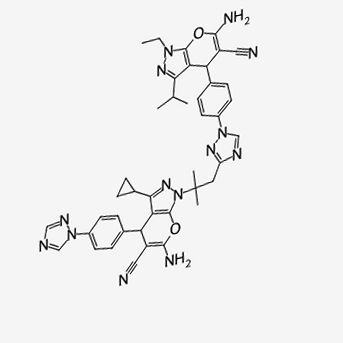 CCn1nc(C(C)C)c2c1OC(N)=C(C#N)C2c1ccc(-n2cnc(CC(C)(C)n3nc(C4CC4)c4c3OC(N)=C(C#N)C4c3ccc(-n4cncn4)cc3)n2)cc1